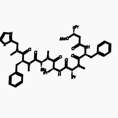 CCC[C@H](CC(=O)N[C@@H](Cc1ccccc1)C(=O)N(C)[C@@H](C(=O)N[C@H](C(=O)N(C)[C@H](C(=O)N(C)[C@@H](Cc1ccccc1)C(=O)N(C)Cc1nccs1)[C@@H](C)CC)C(C)C)C(C)C)OC